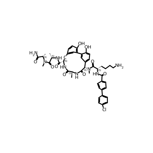 C[C@@H]1NC(=O)[C@@H](N(C)C(=O)[C@H](CCCCN)NC(=O)c2ccc(-c3ccc(Cl)cc3)cc2)c2ccc(O)c(c2)-c2cc(ccc2O)C[C@@H](C(=O)N[C@@H](C)C(=O)N(C)[C@@H](C)C(N)=O)NC1=O